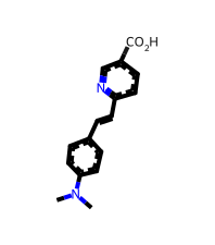 CN(C)c1ccc(/C=C/c2ccc(C(=O)O)cn2)cc1